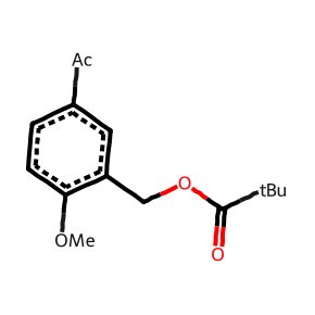 COc1ccc(C(C)=O)cc1COC(=O)C(C)(C)C